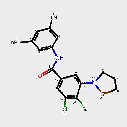 CCCc1cc(C#N)cc(NC(=O)c2cc(Cl)c(Cl)c(N3CCCS3)c2)c1